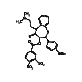 COc1ccc([C@@H]2Sc3ccccc3N(CCN(C)C)C(=O)[C@@H]2OC(=O)c2ccc([N+](=O)[O-])c([N+](=O)[O-])c2)cc1